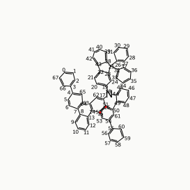 c1ccc(-c2ccc(-c3ccccc3-c3ccc(N(c4ccc5c(c4)C(c4ccccc4)(c4ccccc4)c4ccccc4-5)c4ccccc4-c4cccc(-c5ccccc5)c4)cc3)cc2)cc1